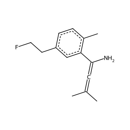 CC(C)=C=C(N)c1cc(CCF)ccc1C